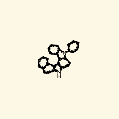 c1ccc(-n2c3ccccc3c3c4c(ccc32)[nH]c2ccc3ccccc3c24)cc1